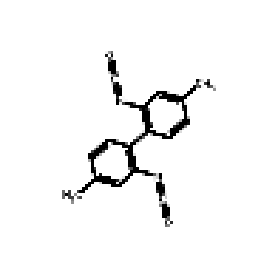 Cc1ccc(-c2ccc(C)cc2N=C=O)c(N=C=O)c1